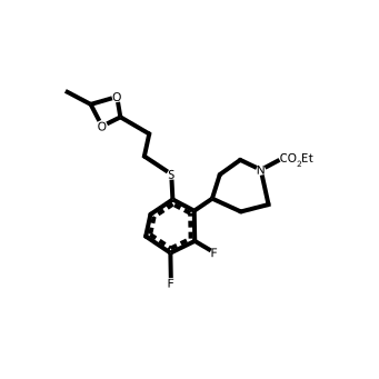 CCOC(=O)N1CCC(c2c(SCCC3OC(C)O3)ccc(F)c2F)CC1